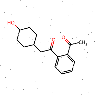 CC(=O)c1ccccc1C(=O)CC1CCC(O)CC1